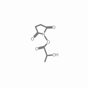 CC(O)C(=O)ON1C(=O)CCC1=O